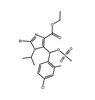 CCOC(=O)c1nc(Br)n(C(C)C)c1C(OS(C)(=O)=O)c1ccc(Cl)cc1C